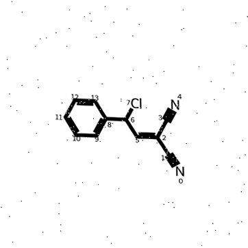 N#CC(C#N)=CC(Cl)c1ccccc1